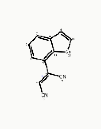 N#C/C=C(\C#N)c1cccc2cc[se]c12